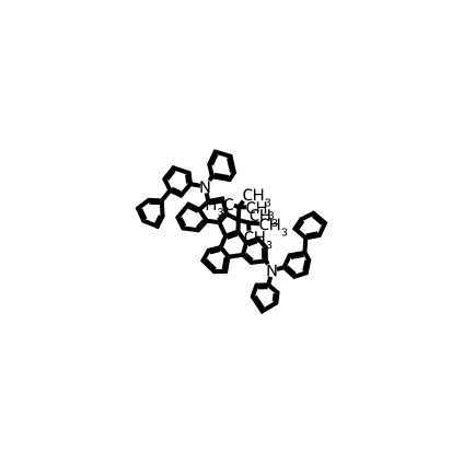 CC(C)(C)C1(C(C)(C)C)c2cc(N(c3ccccc3)c3cccc(-c4ccccc4)c3)c3ccccc3c2-c2c1c1ccc(N(c3ccccc3)c3cccc(-c4ccccc4)c3)cc1c1ccccc21